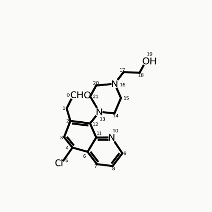 O=CCc1cc(Cl)c2cccnc2c1N1CCN(CCO)CC1